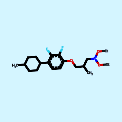 CCON(CC(C)COc1ccc(C2CCC(C)CC2)c(F)c1F)OCC